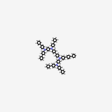 c1ccc(-c2ccc(-c3ccc(N(c4ccc(-c5ccc(N(c6ccc(-c7ccccc7)cc6)c6ccc(N(c7ccc(-c8ccccc8)cc7)c7ccc(-c8ccccc8)cc7)cc6)cc5)cc4)c4ccc(N(c5ccc(-c6ccccc6)cc5)c5ccc(-c6ccccc6)cc5)cc4)cc3)cc2)cc1